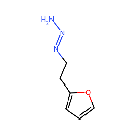 NN=NCCc1ccco1